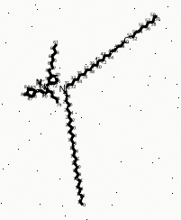 CCCCCCCCCCCCCCCCCCCCCCCCCCCCC[CH2][Ni][CH2]CCCCCCCCCCCCCCCCCCCCCCCCCCCCC.CCCCCCCCc1cccc(C2=C(CCCC)C=C(c3ccc(C)cc3)[N+]2=[N-])c1